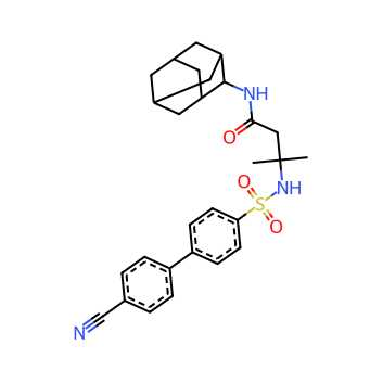 CC(C)(CC(=O)NC1C2CC3CC(C2)CC1C3)NS(=O)(=O)c1ccc(-c2ccc(C#N)cc2)cc1